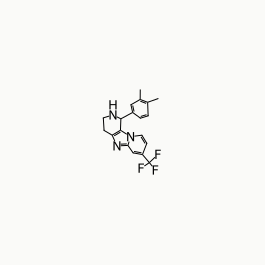 Cc1ccc(C2NCCc3nc4cc(C(F)(F)F)ccn4c32)cc1C